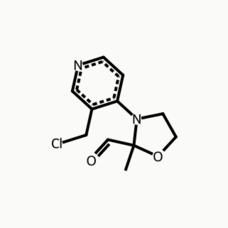 CC1(C=O)OCCN1c1ccncc1CCl